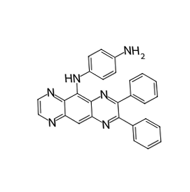 Nc1ccc(Nc2c3nccnc3cc3nc(-c4ccccc4)c(-c4ccccc4)nc23)cc1